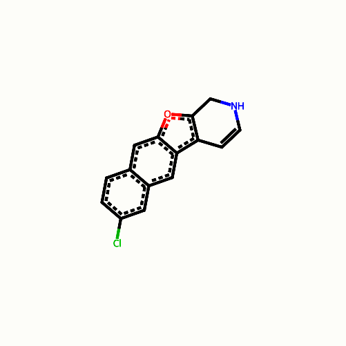 Clc1ccc2cc3oc4c(c3cc2c1)C=CNC4